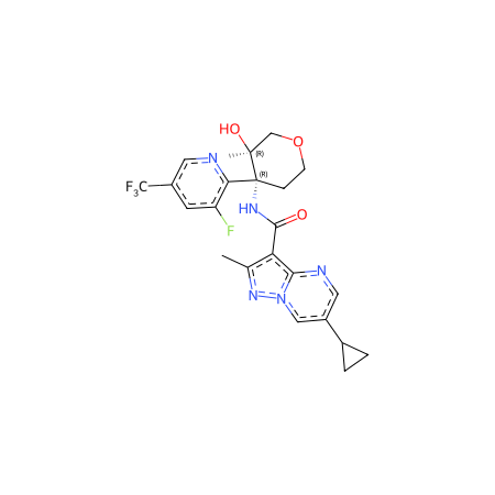 Cc1nn2cc(C3CC3)cnc2c1C(=O)N[C@@]1(c2ncc(C(F)(F)F)cc2F)CCOC[C@]1(C)O